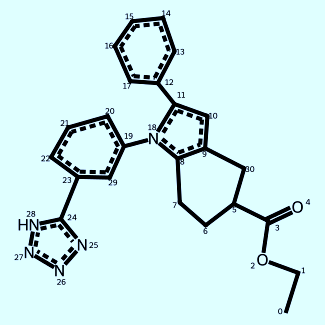 CCOC(=O)C1CCc2c(cc(-c3ccccc3)n2-c2cccc(-c3nnn[nH]3)c2)C1